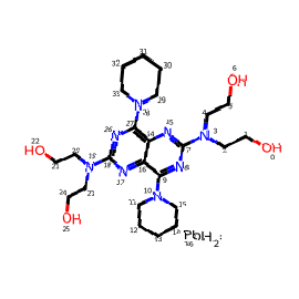 OCCN(CCO)c1nc(N2CCCCC2)c2nc(N(CCO)CCO)nc(N3CCCCC3)c2n1.[PbH2]